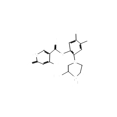 CC1CN(c2cc(F)c(Br)cc2NC(=O)c2c[nH]c(=O)cc2C(F)(F)F)CCN1C